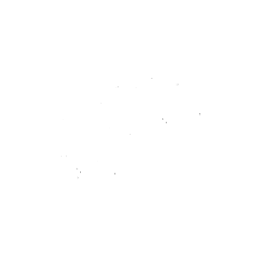 CCN(c1cc(-c2c(C)noc2C)ccc1C)C(C)C